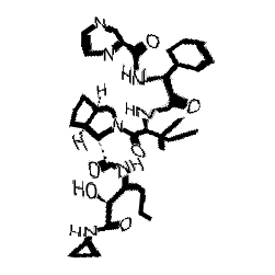 CCCC(NC(=O)[C@@H]1[C@H]2CCC[C@H]2CN1C(=O)[C@@H](NC(=O)[C@@H](NC(=O)c1cnccn1)C1CCCCC1)C(C)(C)C)[C@H](O)C(=O)NC1CC1